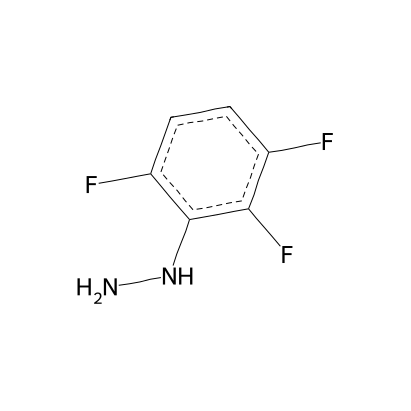 NNc1c(F)ccc(F)c1F